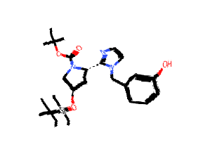 CC(C)(C)OC(=O)N1C[C@H](O[Si](C)(C)C(C)(C)C)C[C@H]1c1nccn1Cc1cccc(O)c1